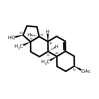 CC(=O)O[C@H]1CC[C@@]2(C)C(=CC[C@H]3[C@@H]4CC[C@H](O)[C@@]4(C)CC[C@@H]32)C1